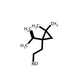 C=C(C)C1(CCN=O)CC1(C)C